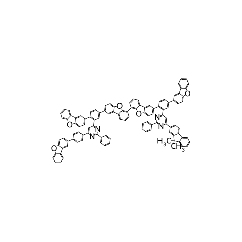 CC1(C)c2ccccc2-c2ccc(-c3cc(-c4cc(-c5ccc6oc7ccccc7c6c5)ccc4-c4ccc5oc6c(-c7cccc8c7oc7ccc(-c9ccc(-c%10ccc%11oc%12ccccc%12c%11c%10)c(-c%10cc(-c%11ccc(-c%12ccc%13oc%14ccccc%14c%13c%12)cc%11)nc(-c%11ccccc%11)n%10)c9)cc78)cccc6c5c4)nc(-c4ccccc4)n3)cc21